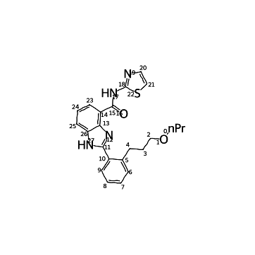 CCCOCCCc1ccccc1-c1nc2c(C(=O)Nc3nccs3)cccc2[nH]1